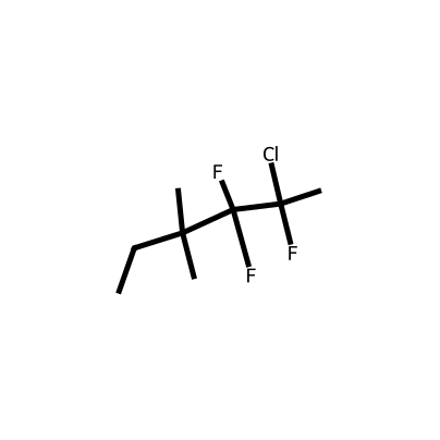 CCC(C)(C)C(F)(F)C(C)(F)Cl